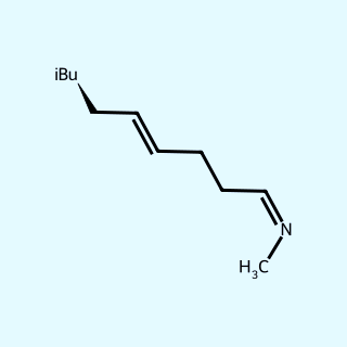 CC[C@H](C)C/C=C/CC/C=N\C